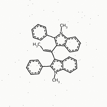 CC=C(c1c(-c2ccccc2)n(C)c2ccccc12)c1c(-c2ccccc2)n(C)c2ccccc12